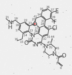 C=CC(=O)N1CCN(c2nc(=O)n(-c3c(CC)cc(CNC)cc3CC)c3c4c(c(Cl)cc23)-c2c(ccc(F)c2F)CO4)[C@@H](C)C1